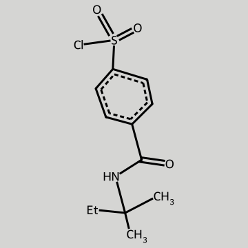 CCC(C)(C)NC(=O)c1ccc(S(=O)(=O)Cl)cc1